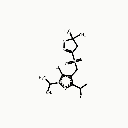 CC(C)n1nc(C(F)F)c(CS(=O)(=O)C2=NOC(C)(C)C2)c1Cl